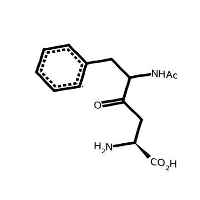 CC(=O)NC(Cc1[c]cccc1)C(=O)C[C@H](N)C(=O)O